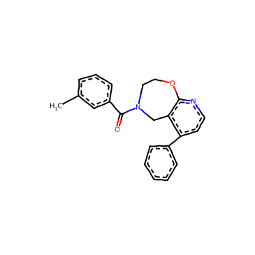 Cc1cccc(C(=O)N2CCOc3nccc(-c4ccccc4)c3C2)c1